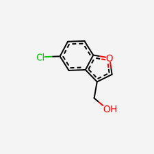 OCc1coc2ccc(Cl)cc12